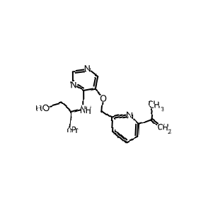 C=C(C)c1cccc(COc2cncnc2NC(CO)CCC)n1